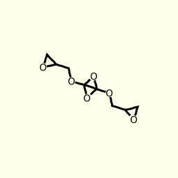 C1OC1COC12OC1(OCC1CO1)O2